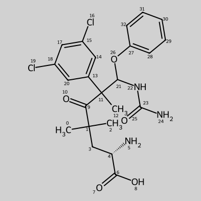 CC(C)(C[C@H](N)C(=O)O)C(=O)C(C)(c1cc(Cl)cc(Cl)c1)C(NC(N)=O)Oc1ccccc1